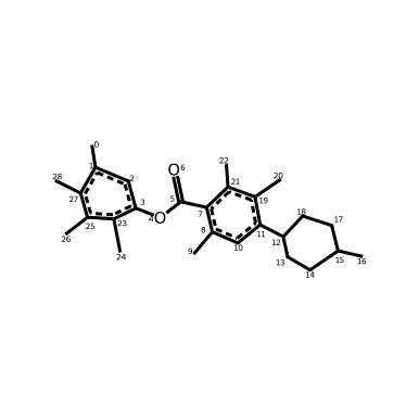 Cc1cc(OC(=O)c2c(C)cc(C3CCC(C)CC3)c(C)c2C)c(C)c(C)c1C